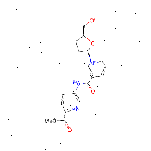 COC(=O)c1ccc(NC(=O)c2ccc[n+]([C@H]3CC[C@@H](CO)O3)c2)cn1